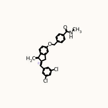 C=C1/C(=C/c2cc(Cl)cc(Cl)c2)Cc2cc(OCc3ccc(C(=O)NC)cc3)ccc21